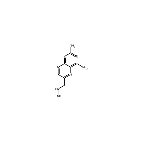 NNCc1cnc2nc(N)nc(N)c2n1